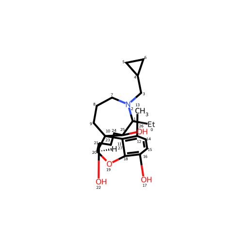 CCC1N(CC2CC2)CCCC23c4c(C)ccc(O)c4O[C@H]2C(O)CCC13O